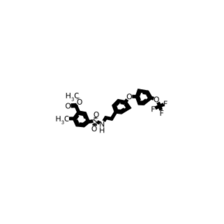 COC(=O)c1cc(S(=O)(=O)NCCc2ccc(Oc3ccc(OC(F)(F)F)cc3)cc2)ccc1C